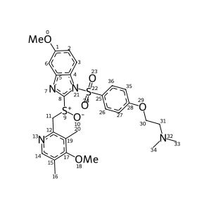 COc1ccc2c(c1)nc([S+]([O-])Cc1ncc(C)c(OC)c1C)n2S(=O)(=O)c1ccc(OCCN(C)C)cc1